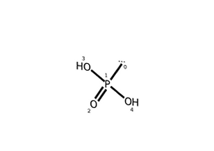 [C]P(=O)(O)O